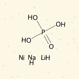 O=P(O)(O)O.[LiH].[NaH].[Ni]